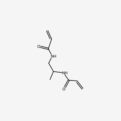 C=CC(=O)NCC(C)NC(=O)C=C